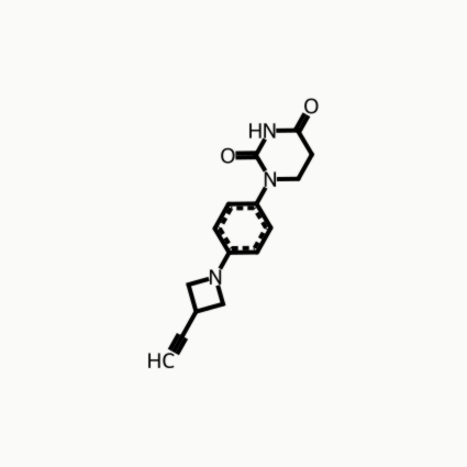 C#CC1CN(c2ccc(N3CCC(=O)NC3=O)cc2)C1